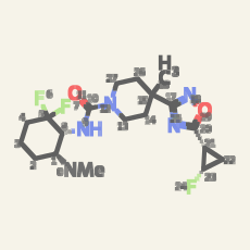 CN[C@H]1CCCC(F)(F)[C@@H]1NC(=O)N1CCC(C)(c2noc([C@@H]3C[C@@H]3F)n2)CC1